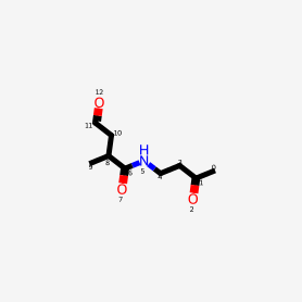 CC(=O)CCNC(=O)C(C)CC=O